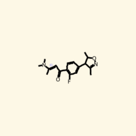 CC1=NOC(C)C1c1ccc(C(=O)/C=C(\C)N(C)C)c(F)c1